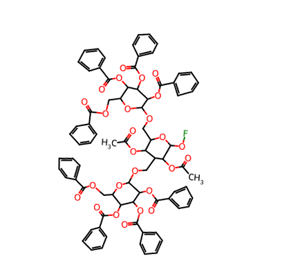 CC(=O)OC1C(COC2OC(COC(=O)c3ccccc3)C(OC(=O)c3ccccc3)C(OC(=O)c3ccccc3)C2OC(=O)c2ccccc2)OC(OF)C(OC(C)=O)C1COC1OC(COC(=O)c2ccccc2)C(OC(=O)c2ccccc2)C(OC(=O)c2ccccc2)C1OC(=O)c1ccccc1